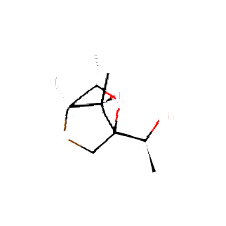 C[C@@H]1OC2([C@H](C)O)CS[C@@H]1[C@@H]2C